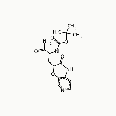 CC(C)(C)OC(=O)N[C@@H](C[C@@H]1Oc2cnccc2NC1=O)C(N)=O